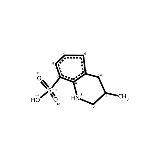 CC1CNc2c(cccc2S(=O)(=O)O)C1